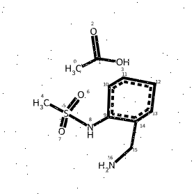 CC(=O)O.CS(=O)(=O)Nc1ccccc1CN